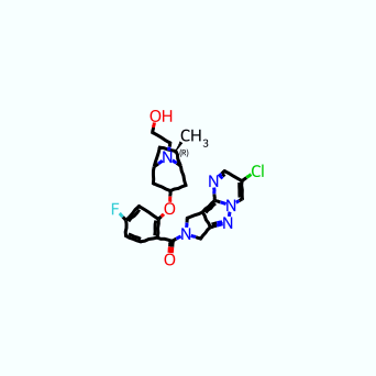 C[C@@H]1CC2CC(Oc3cc(F)ccc3C(=O)N3Cc4nn5cc(Cl)cnc5c4C3)CC1N2CCO